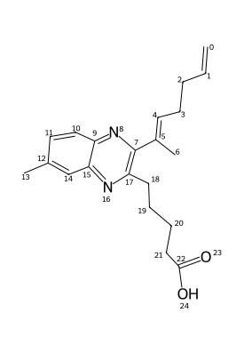 C=CCC/C=C(\C)c1nc2ccc(C)cc2nc1CCCCC(=O)O